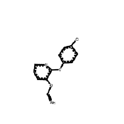 N=COc1cccnc1Oc1ccc(Cl)cc1